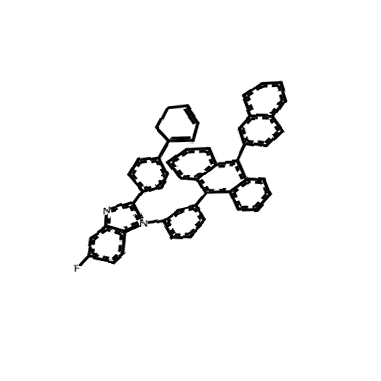 Fc1ccc2c(c1)nc(-c1ccc(C3=CC=CCC3)cc1)n2-c1cccc(-c2c3ccccc3c(-c3ccc4ccccc4c3)c3ccccc23)c1